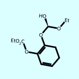 CCOC(=O)OC1=C(O[C@@H](O)OCC)CCC=C1